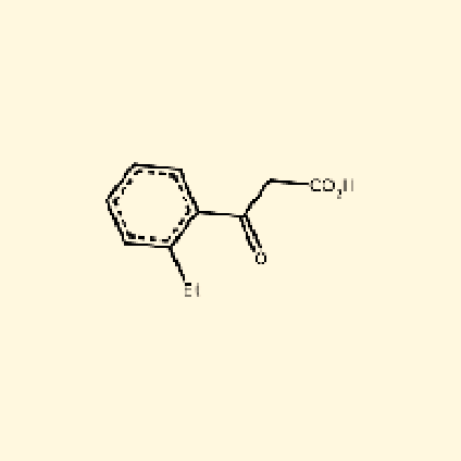 CCc1ccccc1C(=O)CC(=O)O